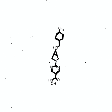 O=C(NO)c1cnc(N2CC3C(C2)C3NCc2ccc(C(F)(F)F)cc2)nc1